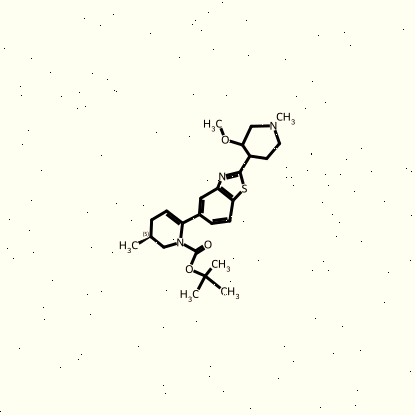 COC1CN(C)CCC1c1nc2cc(C3=CC[C@H](C)CN3C(=O)OC(C)(C)C)ccc2s1